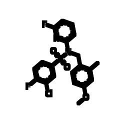 COc1ccc(CN(c2cccc(F)n2)S(=O)(=O)c2ccc(F)c(Cl)c2)c(C)c1